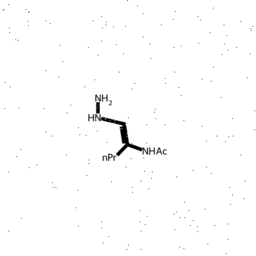 CCC/C(=C\NN)NC(C)=O